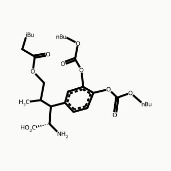 CCCCOC(=O)Oc1ccc(C(C(C)COC(=O)CC(C)CC)[C@H](N)C(=O)O)cc1OC(=O)OCCCC